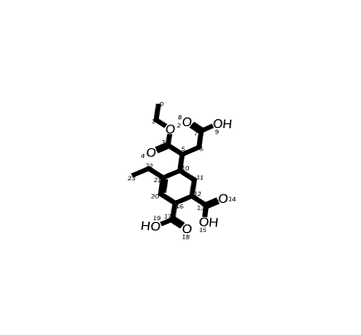 CCOC(=O)C(CC(=O)O)C1CC(C(=O)O)C(C(=O)O)C=C1CC